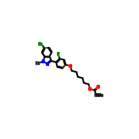 CCn1nc(-c2ccc(OCCCCCCOC(=O)NC)cc2F)c2ccc(Br)cc21